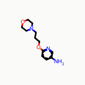 Nc1ccc(OCCCN2CCOCC2)nc1